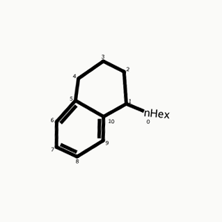 CCCCCCC1CCCc2ccccc21